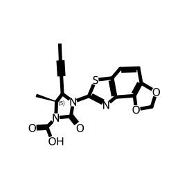 CC#CC1[C@H](C)N(C(=O)O)C(=O)N1c1nc2c3c(ccc2s1)OCO3